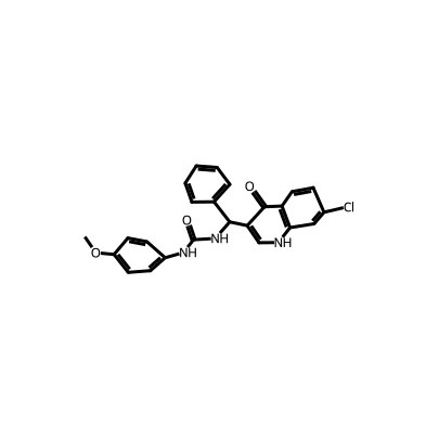 COc1ccc(NC(=O)NC(c2ccccc2)c2c[nH]c3cc(Cl)ccc3c2=O)cc1